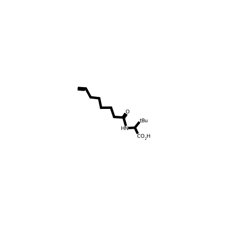 C=CCCCCCC(=O)NC(C(=O)O)C(C)(C)C